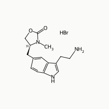 Br.CN1C(=O)OC[C@@H]1Cc1ccc2[nH]cc(CCN)c2c1